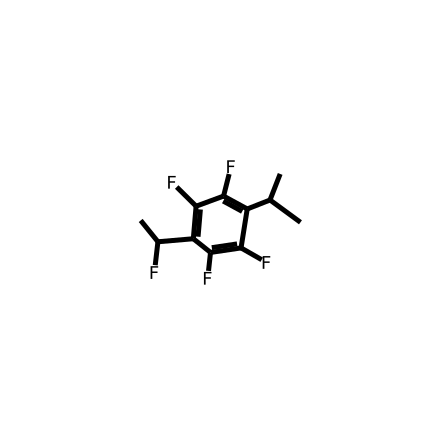 CC(C)c1c(F)c(F)c(C(C)F)c(F)c1F